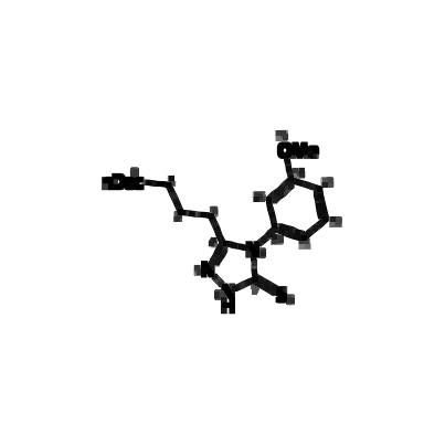 CCCCCCCCCCCCCc1n[nH]c(=S)n1-c1cccc(OC)c1